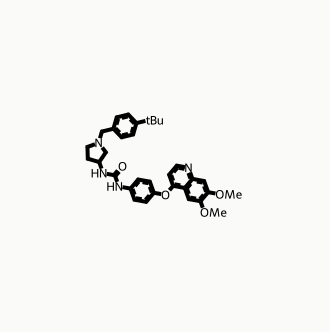 COc1cc2nccc(Oc3ccc(NC(=O)NC4CCN(Cc5ccc(C(C)(C)C)cc5)C4)cc3)c2cc1OC